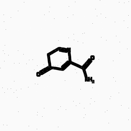 NC(=O)C1=CC(=O)CC=N1